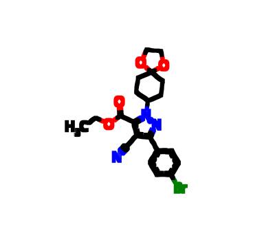 CCOC(=O)c1c(C#N)c(-c2ccc(Br)cc2)nn1C1CCC2(CC1)OCCO2